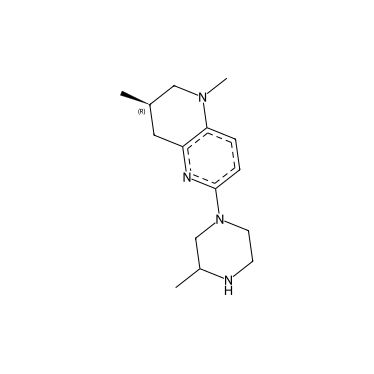 CC1CN(c2ccc3c(n2)C[C@@H](C)CN3C)CCN1